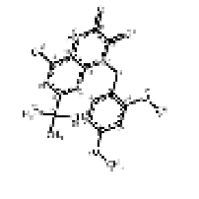 COc1ccc(Cn2c(=O)c(=O)[nH]c3c(Cl)nc(C(C)(C)C)nc32)c(OC)c1